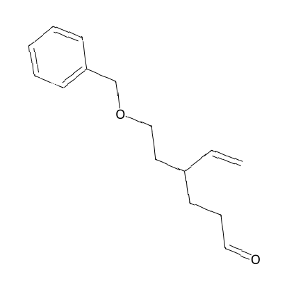 C=CC(CCC=O)CCOCc1ccccc1